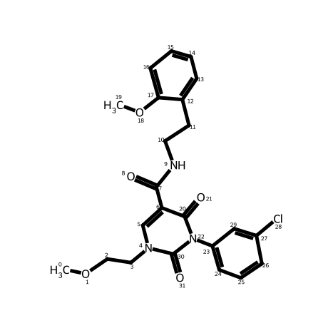 COCCn1cc(C(=O)NCCc2ccccc2OC)c(=O)n(-c2cccc(Cl)c2)c1=O